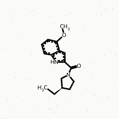 CC[C@@H]1CCN(C(=O)c2cc3c(OC)cccc3[nH]2)C1